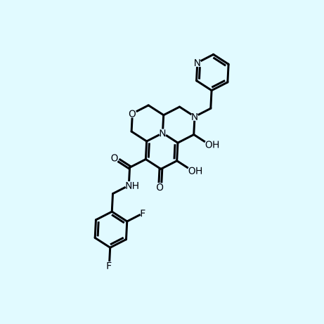 O=C(NCc1ccc(F)cc1F)c1c2n3c(c(O)c1=O)C(O)N(Cc1cccnc1)CC3COC2